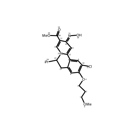 COCCCOc1cc2c(cc1Cl)-c1cc(=NO)c(C(=O)OC)cn1C(C(C)C)C2